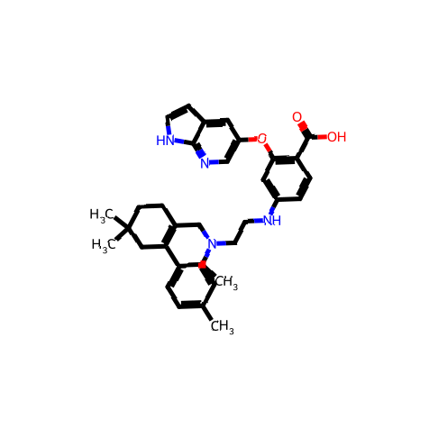 CCN(CCNc1ccc(C(=O)O)c(Oc2cnc3[nH]ccc3c2)c1)CC1=C(c2ccc(C)cc2)CC(C)(C)CC1